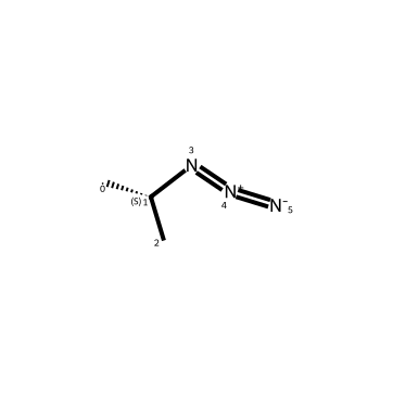 [CH2][C@@H](C)N=[N+]=[N-]